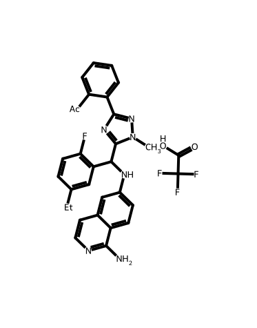 CCc1ccc(F)c(C(Nc2ccc3c(N)nccc3c2)c2nc(-c3ccccc3C(C)=O)nn2C)c1.O=C(O)C(F)(F)F